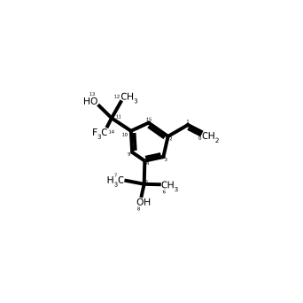 C=Cc1cc(C(C)(C)O)cc(C(C)(O)C(F)(F)F)c1